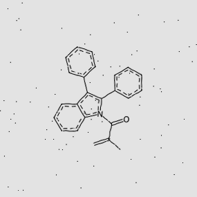 C=C(C)C(=O)n1c(-c2ccccc2)c(-c2ccccc2)c2ccccc21